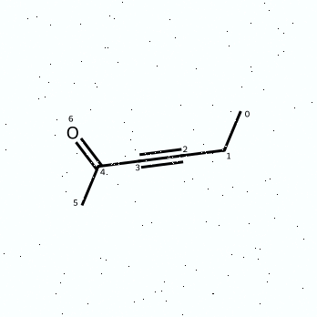 CCC#CC(C)=O